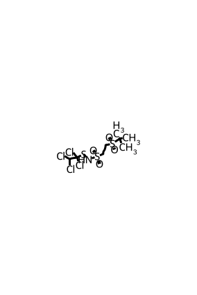 CC(C)(C)S(=O)(=O)CCS(=O)(=O)NSC(Cl)(Cl)C(Cl)Cl